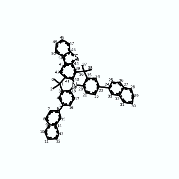 CC1(C)c2cc(-c3ccc4ccccc4c3)ccc2N2c3ccc(-c4ccc5ccccc5c4)cc3C(C)(C)c3c2c1cc1c3sc2ccccc21